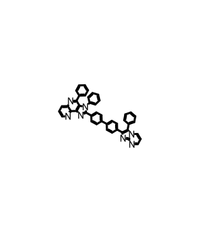 c1ccc(-c2nc3cccnc3c3nc(-c4ccc(-c5ccc(-c6nc7ncccn7c6-c6ccccc6)cc5)cc4)n(-c4ccccc4)c23)cc1